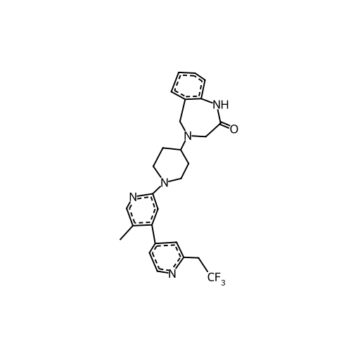 Cc1cnc(N2CCC(N3CC(=O)Nc4ccccc4C3)CC2)cc1-c1ccnc(CC(F)(F)F)c1